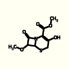 COC(=O)C1=C(O)CSC2C(OC)C(=O)N12